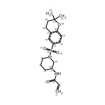 C=CC(=O)N[C@H]1CCCN(S(=O)(=O)c2ccc3c(c2)CCC(C)(C)O3)C1